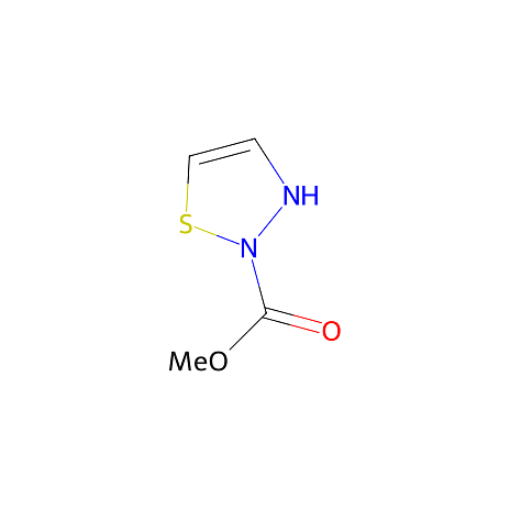 COC(=O)N1NC=CS1